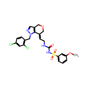 COc1cccc(S(=O)(=O)NC(=O)NC/C=C2\COCc3cnn(Cc4ccc(Cl)cc4Cl)c32)c1